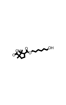 CC1(C(=O)O)CCC(C(=O)OCCCCCCO)C1(C)C